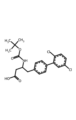 CC(C)(C)OC(=O)NC(CC(=O)O)Cc1ccc(-c2cc(Cl)ccc2Cl)cc1